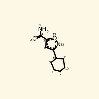 NC(=O)c1cc(C2CCCCC2)no1